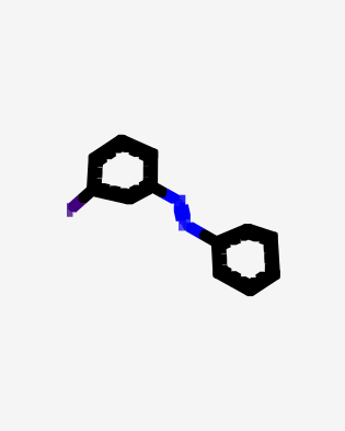 Ic1cccc(/N=N/c2ccccc2)c1